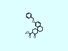 COC(=O)C1CCC2(CCCc3ccc(OCc4ccccc4)cc32)CC1=O